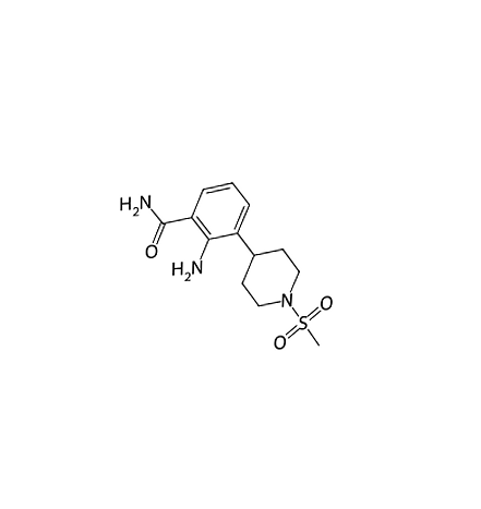 CS(=O)(=O)N1CCC(c2cccc(C(N)=O)c2N)CC1